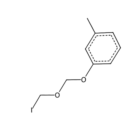 Cc1cccc(OCOCI)c1